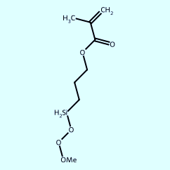 C=C(C)C(=O)OCCC[SiH2]OOOC